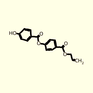 C=CCOC(=O)c1ccc(OC(=O)c2ccc(O)cc2)cc1